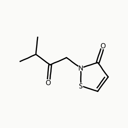 CC(C)C(=O)Cn1sccc1=O